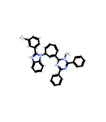 CN1C(c2ccccc2)=NC(c2ccccc2)=NC1C1=CC(n2c(-c3cccc(C(F)(F)F)c3)nc3ccccc32)C=CC=C1